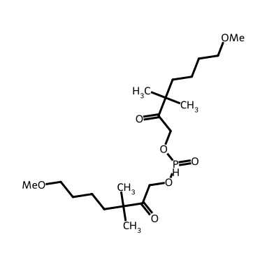 COCCCCC(C)(C)C(=O)CO[PH](=O)OCC(=O)C(C)(C)CCCCOC